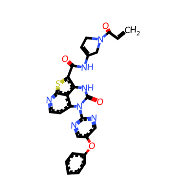 C=CC(=O)N1CC=C(NC(=O)c2sc3nccc4c3c2NC(=O)N4c2ncc(Oc3ccccc3)cn2)C1